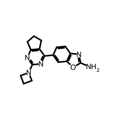 Nc1nc2ccc(-c3nc(N4CCC4)nc4c3CCC4)cc2o1